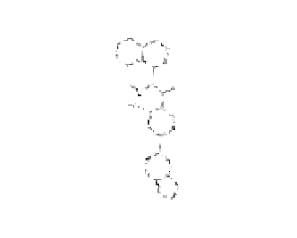 O=c1[nH]c2cc(-c3ccc4sccc4c3)ccc2c(=O)n1-c1cncc2ccccc12